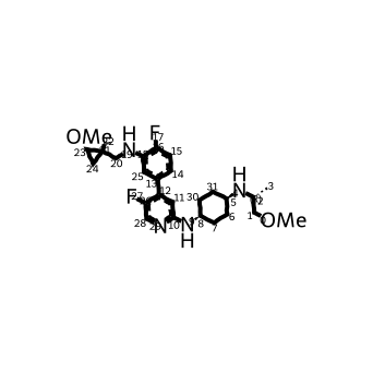 COC[C@@H](C)N[C@H]1CC[C@H](Nc2cc(-c3ccc(F)c(NCC4(OC)CC4)c3)c(F)cn2)CC1